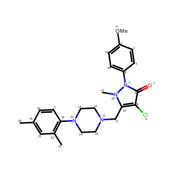 COc1ccc(-n2c(=O)c(Cl)c(CN3CCN(c4ccc(C)cc4C)CC3)n2C)cc1